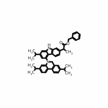 CC(C)c1ccc2c(c1)CN(c1cc(C(C)C)cc3[nH]c4cc(C(C)C(=O)OCc5ccccc5)ccc4c13)c1cc(C(C)C)ccc1-2